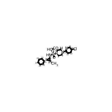 C[C@H]1[C@H](NS(=O)(=O)N2CCN(c3ccc(Cl)cn3)CC2)[C@H]1c1ccccc1.O=C(O)O